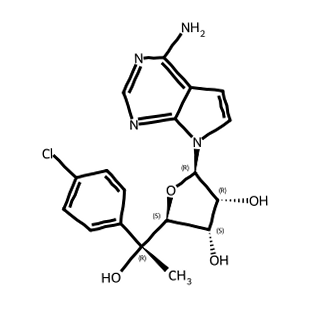 C[C@@](O)(c1ccc(Cl)cc1)[C@H]1O[C@@H](n2ccc3c(N)ncnc32)[C@H](O)[C@@H]1O